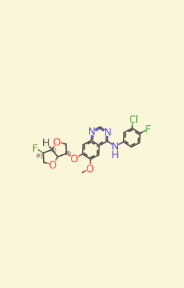 COc1cc2c(Nc3ccc(F)c(Cl)c3)ncnc2cc1O[C@@H]1CO[C@@H]2C1OC[C@H]2F